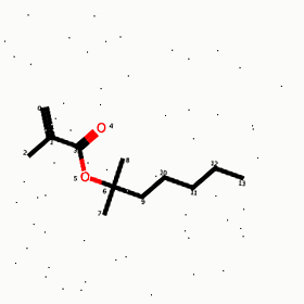 C=C(C)C(=O)OC(C)(C)CCCCC